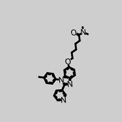 Cc1ccc(-n2c(-c3cccnc3)nc3ccc(OCCCCCC(=O)N(C)C)cc32)cc1